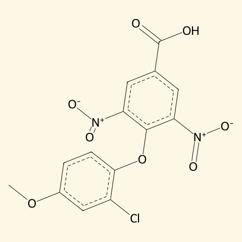 COc1ccc(Oc2c([N+](=O)[O-])cc(C(=O)O)cc2[N+](=O)[O-])c(Cl)c1